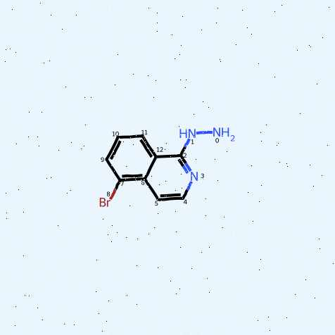 NNc1nccc2c(Br)cccc12